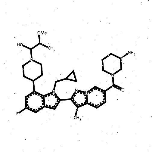 CO[C@@H](C)C(O)N1CCC(c2cc(F)cc3cc(-c4nn5cc(C(=O)N6CCC[C@@H](N)C6)ccc5c4C)n(CC4CC4)c23)CC1